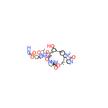 CCn1c(-c2cccnc2[C@H](C)OC)c2c3cc(ccc31)-c1cc(O)cc(c1)C[C@H](NC(=O)C(C(C)C)N1CC[C@]3(CCC(S(=O)(=O)[C@H]4CN4)C3)C1=O)C(=O)N1CCC[C@H](N1)C(=O)OCC(C)(C)C2